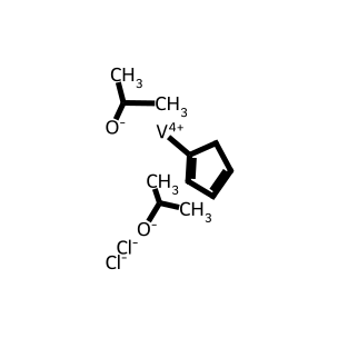 CC(C)[O-].CC(C)[O-].[Cl-].[Cl-].[V+4][C]1=CC=CC1